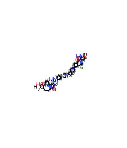 C[C@@]1(O)CC/C=C\Cn2c(=O)c3cnc(Nc4ccc(N5CCN(C6CCC7(CCN(c8ccc9c(=O)n(C%10CCC(=O)NC%10=O)nc(F)c9c8)CC7)C6)CC5)cc4)nc3n2-c2cccc1n2